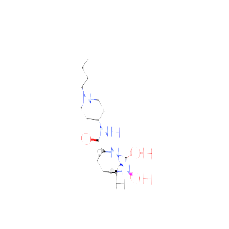 CCCCN1CCC(NC(=O)[C@@H]2CC[C@@H]3CN2C(O)N3O)CC1